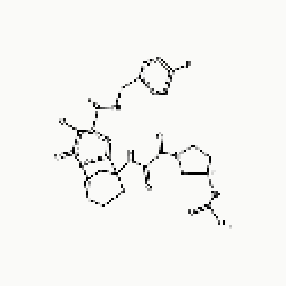 CC(=O)N[C@H]1CCN(C(=O)C(=O)NC23CCC(CC2)Cn2c3nc(C(=O)NCc3ccc(F)cc3)c(O)c2=O)C1